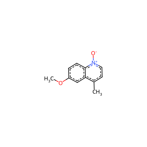 COc1ccc2c(c1)c(C)cc[n+]2[O-]